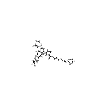 C[C@H](CCOCCCOCc1ccccc1)n1cc(-c2nn(C3CCCCO3)c3ccc(O[Si](C)(C)C(C)(C)C)cc23)cn1